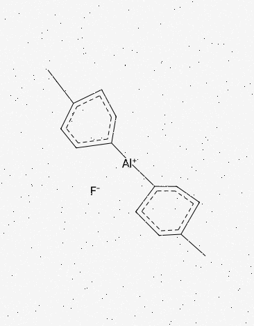 Cc1cc[c]([Al+][c]2ccc(C)cc2)cc1.[F-]